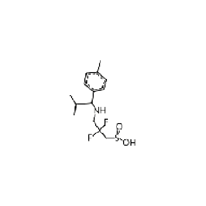 Cc1ccc(C(NCC(F)(F)CS(=O)O)C(C)C)cc1